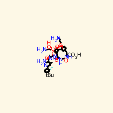 Cc1cc(-c2ccc(C(C)(C)C)cc2F)nc(N)c1C(=O)N[C@@H](C)C(=O)N(C)[C@@H]1C(=O)N[C@@H](C)C(=O)N[C@H](C(=O)O)Cc2ccc(OCCCN)c(c2)-c2cc1cc(OC[C@H](O)CN)c2O